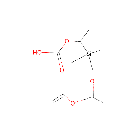 C=COC(C)=O.CC(OC(=O)O)[Si](C)(C)C